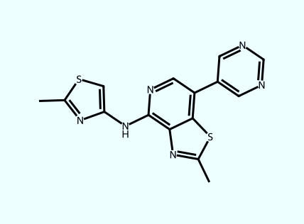 Cc1nc(Nc2ncc(-c3cncnc3)c3sc(C)nc23)cs1